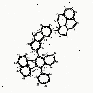 C1=CC2C=Cc3cccc4c3C2C(=C1c1ccc2oc3ccc(-c5c6c(c(-c7ccccc7)c7ccccc57)-c5cccc7cccc-6c57)cc3c2c1)C=C4